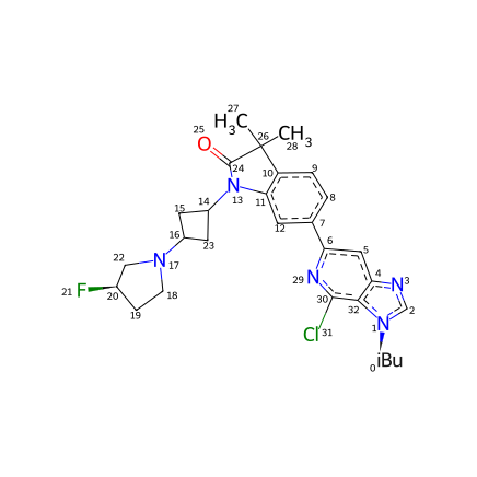 CC[C@H](C)n1cnc2cc(-c3ccc4c(c3)N(C3CC(N5CC[C@@H](F)C5)C3)C(=O)C4(C)C)nc(Cl)c21